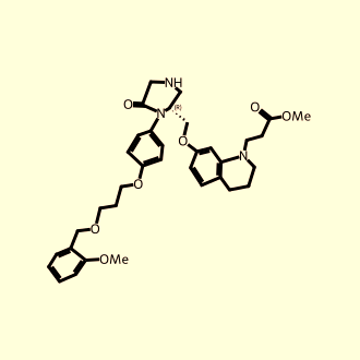 COC(=O)CCN1CCCc2ccc(OC[C@H]3CNCC(=O)N3c3ccc(OCCCOCc4ccccc4OC)cc3)cc21